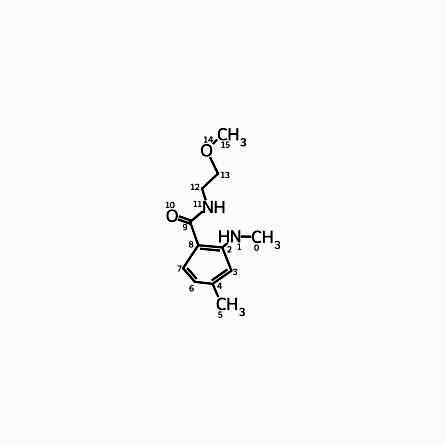 CNc1cc(C)ccc1C(=O)NCCOC